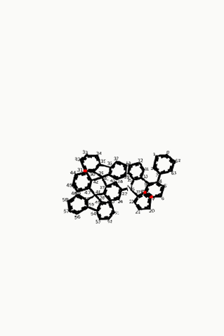 c1ccc(-c2ccccc2-c2ccccc2N(c2ccccc2)c2ccc3c(c2)C2(c4ccccc4-c4ccccc42)c2ccccc2C32c3ccccc3-c3ccccc32)cc1